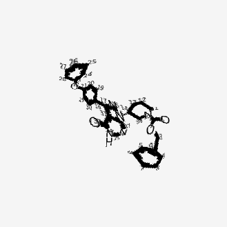 O=C(OCc1ccccc1)N1CCC[C@@H](n2nc(-c3ccc(Oc4ccccc4)cc3)c3c(=O)[nH]cnc32)C1